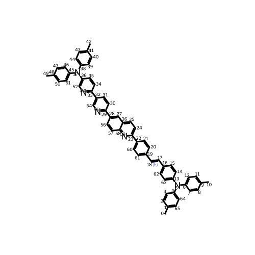 Cc1ccc(N(c2ccc(C)cc2)c2ccc(/C=C/c3ccc(-c4ccc5cc(-c6ccc(-c7ccc(N(c8ccc(C)cc8)c8ccc(C)cc8)cn7)cn6)ccc5n4)cc3)cc2)cc1